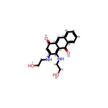 O=C1C=C(NCCO)C(NCCO)=C2C(=O)c3ccccc3C=C12